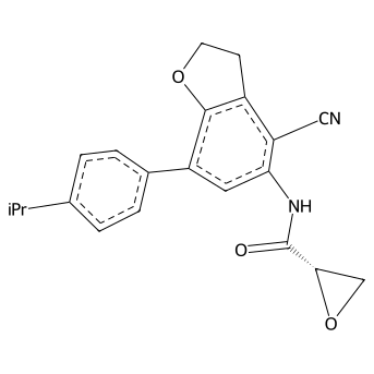 CC(C)c1ccc(-c2cc(NC(=O)[C@@H]3CO3)c(C#N)c3c2OCC3)cc1